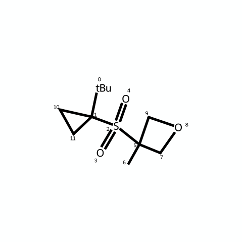 CC(C)(C)C1(S(=O)(=O)C2(C)COC2)CC1